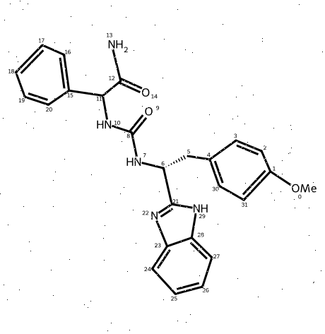 COc1ccc(C[C@@H](NC(=O)NC(C(N)=O)c2ccccc2)c2nc3ccccc3[nH]2)cc1